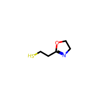 SCCC1=NCCO1